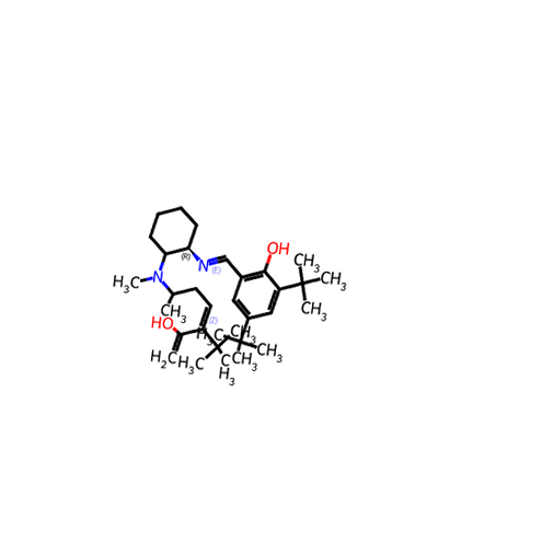 C=C(O)/C(=C\CC(C)N(C)C1CCCC[C@H]1/N=C/c1cc(C(C)(C)C)cc(C(C)(C)C)c1O)C(C)(C)C